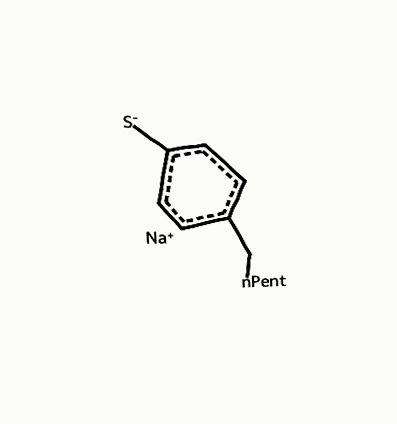 CCCCCCc1ccc([S-])cc1.[Na+]